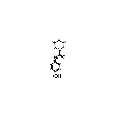 O=C(Nc1ccc(O)cc1)N1CCCCC1